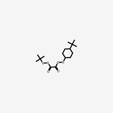 CC(C)(C)OOC(=O)C(=O)OOC1CCC(C(C)(C)C)CC1